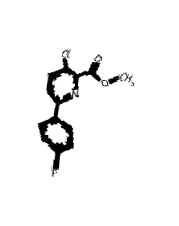 COC(=O)c1nc(-c2ccc(F)cc2)ccc1Cl